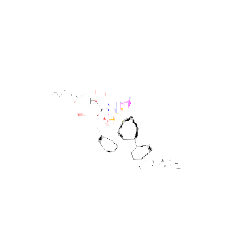 COC(=O)C(NS(=O)(=O)c1ccc(-c2ccc(OC)cc2)cc1)C(OCc1ccccc1)C1CO1